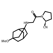 COC12CC3CC(C1)C(NCC(=O)N1CCC[C@H]1C#N)(C3)C2